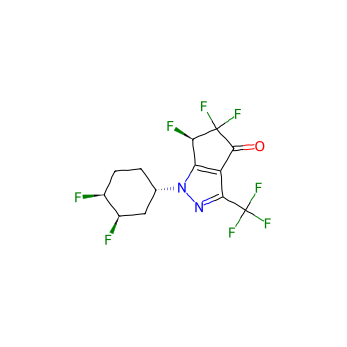 O=C1c2c(C(F)(F)F)nn([C@H]3CC[C@H](F)[C@H](F)C3)c2[C@@H](F)C1(F)F